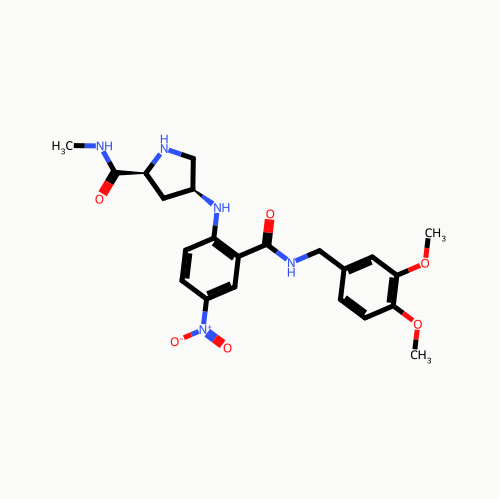 CNC(=O)[C@@H]1C[C@H](Nc2ccc([N+](=O)[O-])cc2C(=O)NCc2ccc(OC)c(OC)c2)CN1